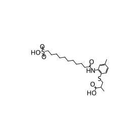 Cc1ccc(SCC(C)C(=O)O)c(NC(=O)CCCCCCCCCCS(=O)(=O)O)c1